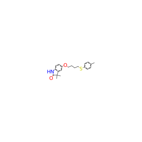 Cc1ccc(SCCCCOc2ccc3c(c2)C(C)(C)C(=O)N3)cc1